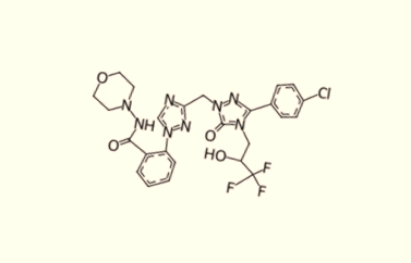 O=C(NN1CCOCC1)c1ccccc1-n1cnc(Cn2nc(-c3ccc(Cl)cc3)n(CC(O)C(F)(F)F)c2=O)n1